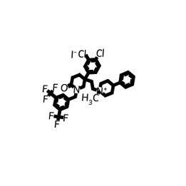 C[N+]1(CCC2(c3ccc(Cl)c(Cl)c3)CCC(=O)N(Cc3cc(C(F)(F)F)cc(C(F)(F)F)c3)C2)CCC(c2ccccc2)CC1.[I-]